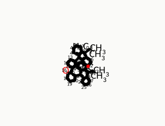 CC(C)(C)c1c2ccccc2c(-c2ccc3oc4cccc(-c5c6ccccc6c(C(C)(C)C)c6ccccc56)c4c3c2)c2ccccc12